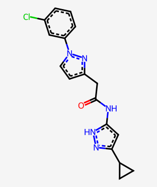 O=C(Cc1ccn(-c2cccc(Cl)c2)n1)Nc1cc(C2CC2)n[nH]1